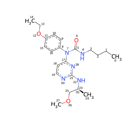 CCCCNC(=O)N(c1ccc(OCC)cc1)c1ccnc(N[C@@H](C)COC)n1